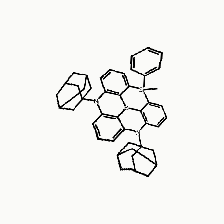 C[Si]1(c2ccccc2)c2cccc3c2B2c4c(cccc4N(C45CC6CC(CC(C6)C4)C5)c4cccc1c42)N3C12CC3CC(CC(C3)C1)C2